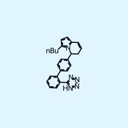 CCCCc1ccc2n1C(c1ccc(-c3ccccc3-c3nnn[nH]3)cc1)CC=C2